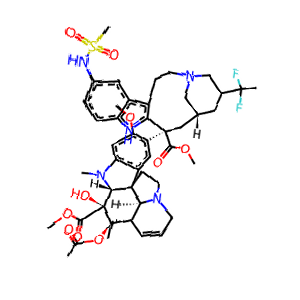 CC[C@]12C=CCN3CC[C@@]4(c5cc([C@@]6(C(=O)OC)C[C@H]7CC(C(C)(F)F)CN(CCc8c6[nH]c6ccc(NS(C)(=O)=O)cc86)C7)c(OC)cc5N(C)[C@H]4[C@@](O)(C(=O)OC)[C@@H]1OC(C)=O)[C@@H]32